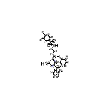 C/C(=N\C(=C/C=N)c1c(-c2ccc(F)cc2)nc2occn12)NCCCNS(=O)(=O)c1ccc(C)c(C)c1